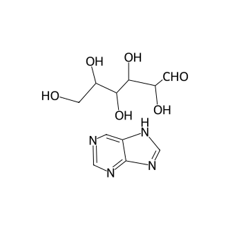 O=CC(O)C(O)C(O)C(O)CO.c1ncc2[nH]cnc2n1